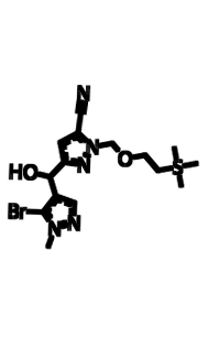 Cn1ncc(C(O)c2cc(C#N)n(COCCS(C)(C)C)n2)c1Br